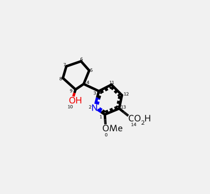 COc1nc(C2CCCCC2O)ccc1C(=O)O